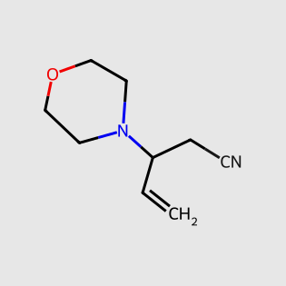 C=CC(CC#N)N1CCOCC1